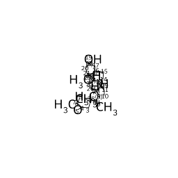 C[C@H](CCC1OC1(C)C)[C@H]1CC[C@H]2[C@@H]3CC=C4C[C@@H](O)CC[C@]4(C)[C@H]3CC[C@]12C